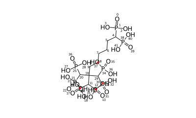 O=P(O)(O)C(CCCCCC(C(P(=O)(O)O)P(=O)(O)O)(C(P(=O)(O)O)P(=O)(O)O)C(P(=O)(O)O)P(=O)(O)O)P(=O)(O)O